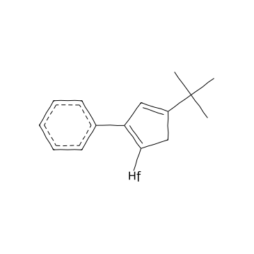 CC(C)(C)C1=CC(c2ccccc2)=[C]([Hf])C1